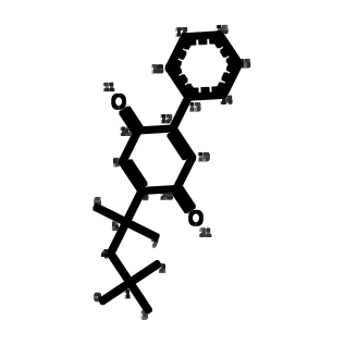 CC(C)(C)CC(C)(C)C1=CC(=O)C(c2ccccc2)=CC1=O